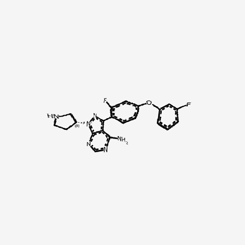 Nc1ncnc2c1c(-c1ccc(Oc3cccc(F)c3)cc1F)nn2[C@@H]1CCNC1